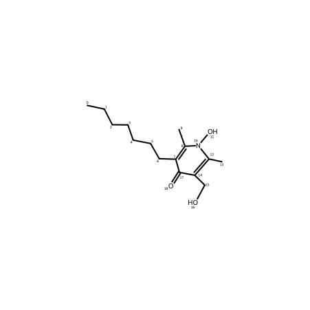 CCCCCCCc1c(C)n(O)c(C)c(CO)c1=O